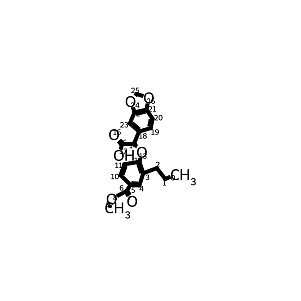 CCCc1cc(C(=O)OC)ccc1OC(C(=O)O)c1ccc2c(c1)OCO2